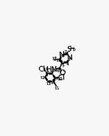 CSc1ncc(C(=O)Nc2c(Cl)ccc(C)c2Cl)c(C)n1